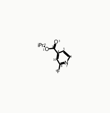 CC(C)OC(=O)c1ccnc(F)c1